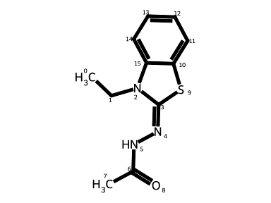 CCn1c(=NNC(C)=O)sc2ccccc21